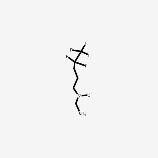 CC[S+]([O-])CCCC(F)(F)C(F)(F)F